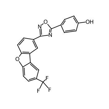 Oc1ccc(-c2nc(-c3ccc4oc5ccc(C(F)(F)F)cc5c4c3)no2)cc1